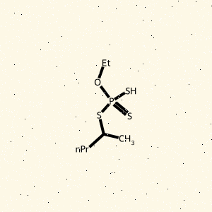 CCCC(C)SP(=S)(S)OCC